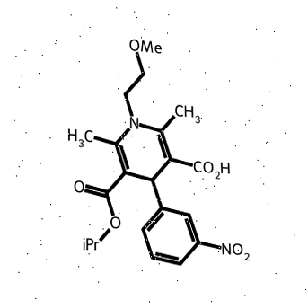 COCCN1C(C)=C(C(=O)O)C(c2cccc([N+](=O)[O-])c2)C(C(=O)OC(C)C)=C1C